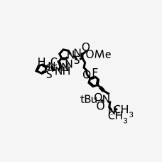 COC(=O)c1nc(N2CCCc3c2nnc(Nc2nc4ccccc4s2)c3C)sc1CCCOc1ccc(C#CCN(CCN(C)C)C(=O)OC(C)(C)C)cc1F